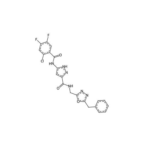 O=C(NCc1nnc(Cc2ccccc2)o1)c1cc(NC(=O)c2cc(F)c(F)cc2Cl)[nH]n1